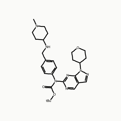 CN1CCC(NCc2ccc(N(C(=O)OC(C)(C)C)c3ncc4cnn(C5CCOCC5)c4n3)cc2)CC1